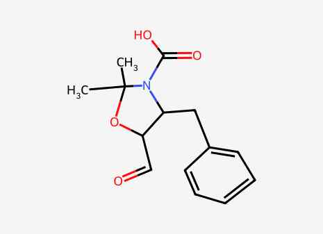 CC1(C)OC(C=O)C(Cc2ccccc2)N1C(=O)O